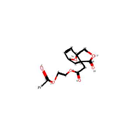 CC(C)C(=O)OCCOC(=O)CC12CC3C=CC1(COC2=O)O3